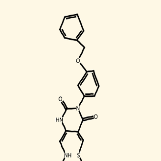 CN/C=c1/[nH]c(=O)n(-c2cccc(OCc3ccccc3)c2)c(=O)/c1=C/SC